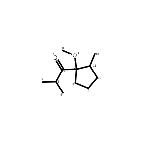 COC1(C(=O)C(C)C)CCCC1C